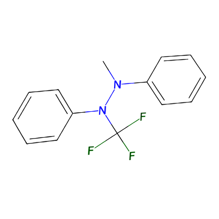 CN(c1ccccc1)N(c1ccccc1)C(F)(F)F